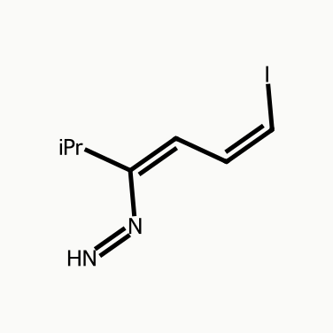 CC(C)/C(=C/C=C\I)N=N